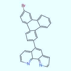 Brc1ccc2c3ccc(-c4cc5cccnc5c5ncccc45)cc3c3ccccc3c2c1